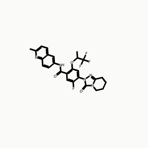 Cc1ccc2cc(NC(=O)c3cc(F)c(-n4nc5n(c4=O)CCCC5)cc3OC(C)C(F)(F)F)ccc2n1